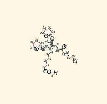 O=C(O)CCCCCC[C@H]1[C@@H](C=CC(=O)CCCCCl)[C@@H](OC2CCCCO2)C[C@H]1OC1CCCCO1